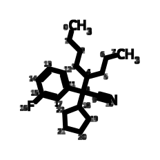 CCCCC(CCC)C(C#N)(c1cccc(F)c1)C1CCCC1